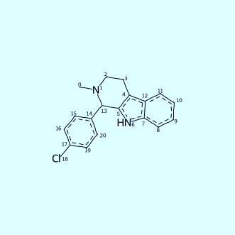 CN1CCc2c([nH]c3ccccc23)C1c1ccc(Cl)cc1